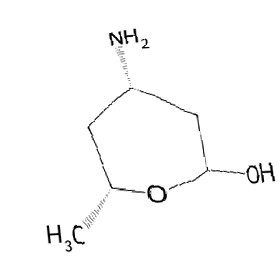 C[C@@H]1C[C@H](N)CC(O)O1